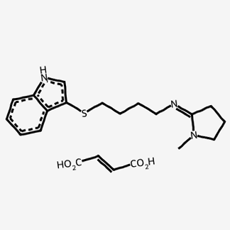 CN1CCCC1=NCCCCSc1c[nH]c2ccccc12.O=C(O)C=CC(=O)O